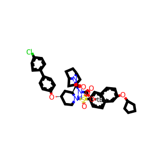 CC(C)(C)OC(=O)NC1CC2CCC(C1)N2C(=O)[C@@H]1C[C@@H](Oc2ccc(-c3ccc(Cl)cc3)cc2)CCN1S(=O)(=O)c1ccc2cc(OC3CCCC3)ccc2c1